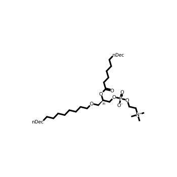 CCCCCCCCCCCCCCCCCCOC[C@H](COP(=O)([O-])OCC[N+](C)(C)C)OC(=O)CCCCCCCCCCCCCCC